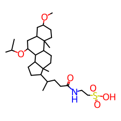 COC1CCC2(C)C(C1)CC(OC(C)C)C1C2CCC2(C)C(C(C)CCC(=O)NCCS(=O)(=O)O)CCC12